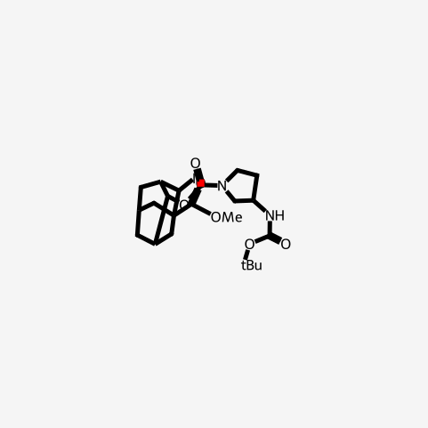 COC(=O)C12CC3CC(C1)C(OC(=O)N1CCC(NC(=O)OC(C)(C)C)C1)C(C3)C2I